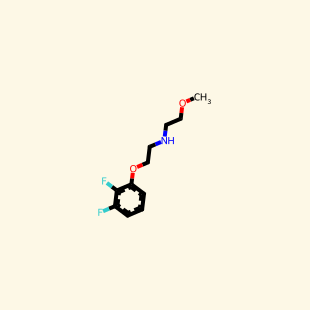 COCCNCCOc1cccc(F)c1F